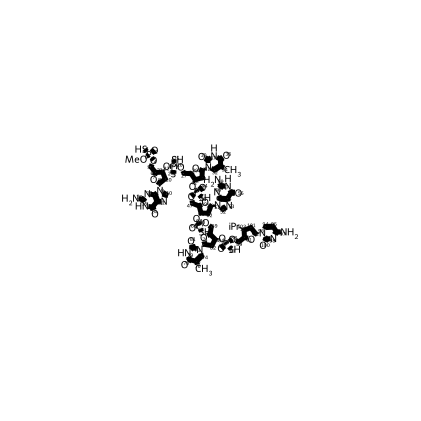 COP(=O)(S)OCC1O[C@@H](n2cnc3c(=O)[nH]c(N)nc32)C[C@H]1OP(=S)(S)OCC1O[C@@H](n2cc(C)c(=O)[nH]c2=O)C[C@H]1OP(=O)(S)OCC1O[C@@H](n2cnc3c(=O)[nH]c(N)nc32)C[C@H]1OP(=O)(S)OCC1O[C@@H](n2cc(C)c(=O)[nH]c2=O)C[C@H]1OP(=O)(S)OCC1O[C@@H](n2ccc(N)nc2=O)C[C@H]1C(C)C